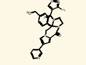 Cc1nocc1C(=O)N1CCN2C(=O)c3cc(-c4cccnc4)cn3CC12c1ccc(CO)cc1